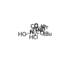 CC(C)CC(C(=O)N1CCN(CCCO)C[C@@H]1C(=O)O)N(C)C(=O)OC(C)(C)C.Cl